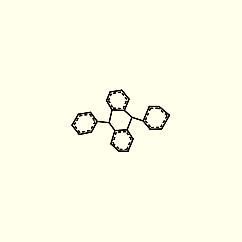 c1ccc(C2c3ccccc3C(c3ccccc3)c3ccccc32)cc1